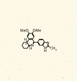 COc1cc2c(cc1OC)[C@H]1CCCC[C@H]1N=C2c1ccc2nc(C)[nH]c2c1